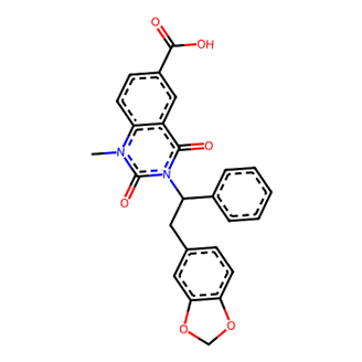 Cn1c(=O)n(C(Cc2ccc3c(c2)OCO3)c2ccccc2)c(=O)c2cc(C(=O)O)ccc21